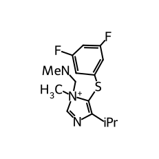 CNC[N+]1(C)C=NC(C(C)C)=C1Sc1cc(F)cc(F)c1